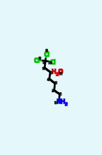 NCCCCCCC(Cl)(Cl)Cl.O